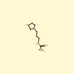 CC(=O)OCCCN1CCCC1